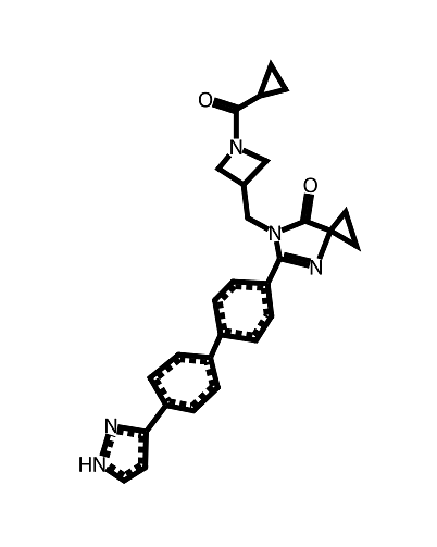 O=C(C1CC1)N1CC(CN2C(=O)C3(CC3)N=C2c2ccc(-c3ccc(-c4cc[nH]n4)cc3)cc2)C1